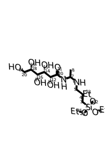 CCO[Si](CCCNC(C)NC(=O)[C@H](O)[C@@H](O)[C@H](O)[C@H](O)CO)(OCC)OCC